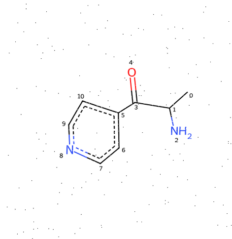 CC(N)C(=O)c1ccncc1